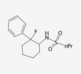 CCCS(=O)(=O)NC1CCCCC1(F)c1ccccc1